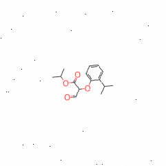 CC(C)OC(=O)C(C=O)Oc1ccccc1C(C)C